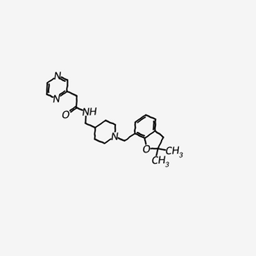 CC1(C)Cc2cccc(CN3CCC(CNC(=O)Cc4cnccn4)CC3)c2O1